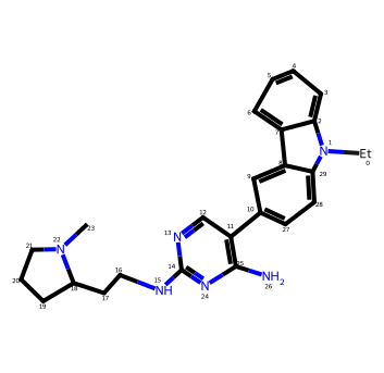 CCn1c2ccccc2c2cc(-c3cnc(NCCC4CCCN4C)nc3N)ccc21